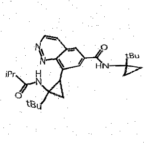 CC(C)C(=O)NC1(C(C)(C)C)CC1c1cc(C(=O)NC2(C(C)(C)C)CC2)cc2ccnnc12